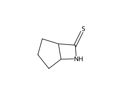 S=C1NC2CCCC12